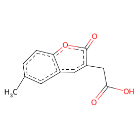 Cc1ccc2oc(=O)c(CC(=O)O)cc2c1